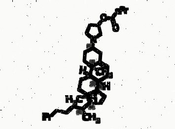 CCCC(=O)OC1CCN([C@H]2CC[C@@]3(C)C(=CC[C@H]4[C@@H]5CC[C@H]([C@H](C)CCCC(C)C)[C@@]5(C)CC[C@@H]43)C2)C1